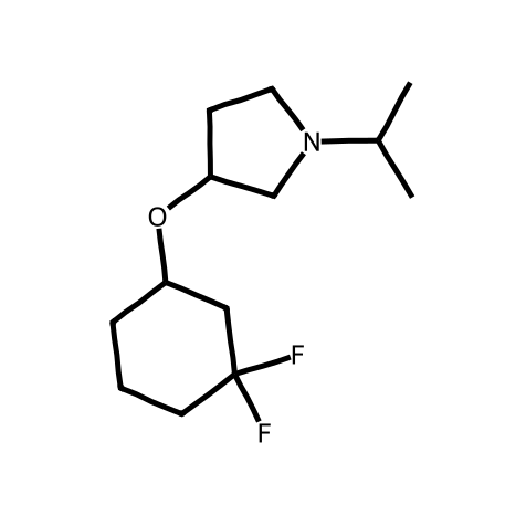 CC(C)N1CCC(OC2CCCC(F)(F)C2)C1